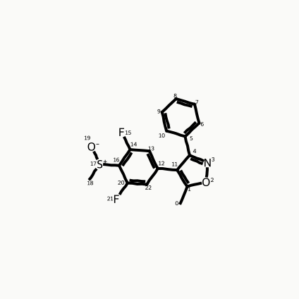 Cc1onc(-c2ccccc2)c1-c1cc(F)c([S+](C)[O-])c(F)c1